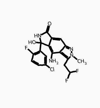 Cn1nc2cc3c(c(N)c2c1CC(F)F)C(O)(c1cc(Cl)ccc1F)NC3=O